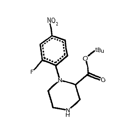 CC(C)(C)OC(=O)C1CNCCN1c1ccc([N+](=O)[O-])cc1F